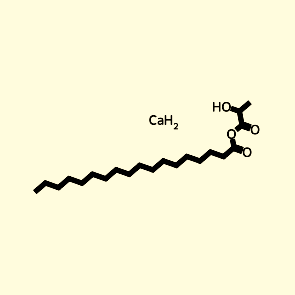 CCCCCCCCCCCCCCCCCC(=O)OC(=O)C(C)O.[CaH2]